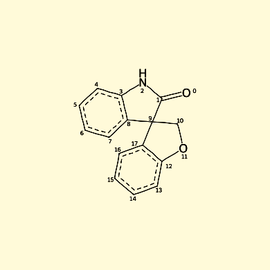 O=C1Nc2ccccc2C12COc1ccccc12